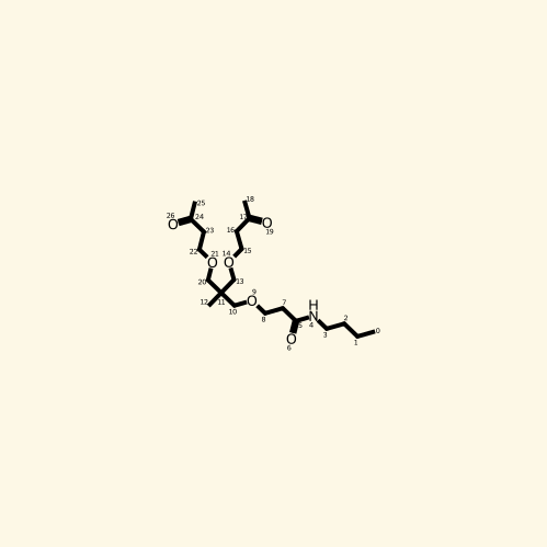 CCCCNC(=O)CCOCC(C)(COCCC(C)=O)COCCC(C)=O